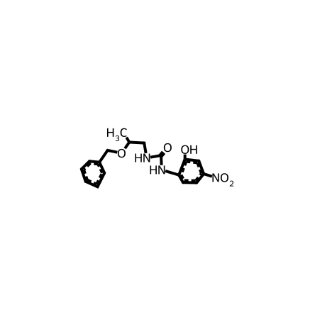 CC(CNC(=O)Nc1ccc([N+](=O)[O-])cc1O)OCc1ccccc1